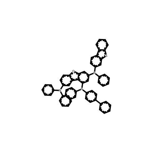 c1ccc(-c2ccc(N(c3ccccc3)c3cc(N(c4ccccc4)c4ccc5c(c4)sc4ccccc45)cc4oc5ccc(N(c6ccccc6)c6ccccc6)cc5c34)cc2)cc1